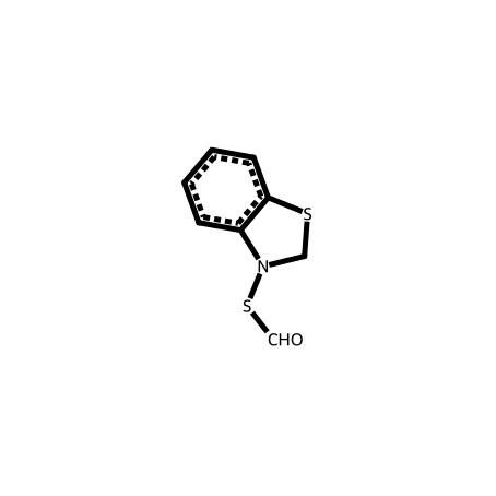 O=CSN1CSc2ccccc21